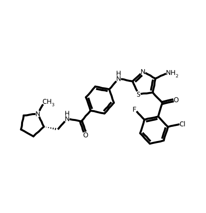 CN1CCC[C@H]1CNC(=O)c1ccc(Nc2nc(N)c(C(=O)c3c(F)cccc3Cl)s2)cc1